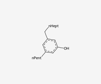 CCCCCCCCc1cc(O)cc(CCCCC)c1